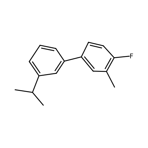 Cc1cc(-c2cccc(C(C)C)c2)ccc1F